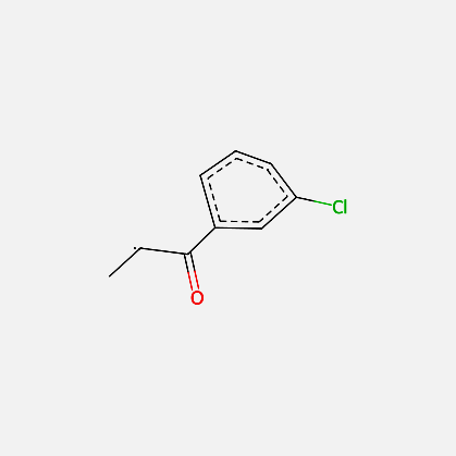 C[CH]C(=O)c1cccc(Cl)c1